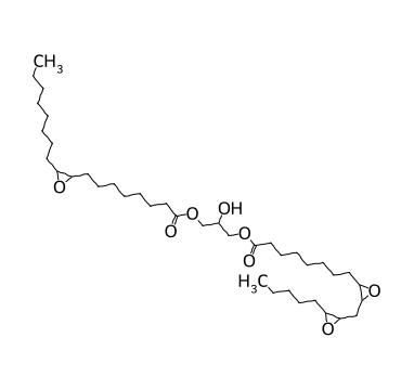 CCCCCCCCC1OC1CCCCCCCC(=O)OCC(O)COC(=O)CCCCCCCC1OC1CC1OC1CCCCC